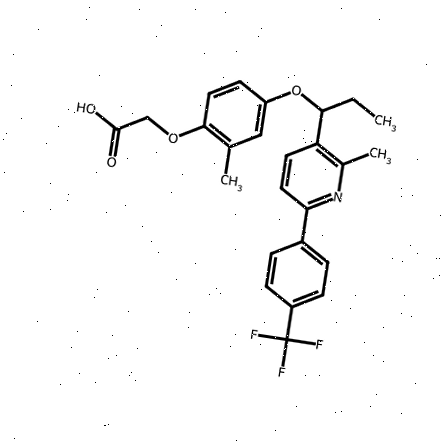 CCC(Oc1ccc(OCC(=O)O)c(C)c1)c1ccc(-c2ccc(C(F)(F)F)cc2)nc1C